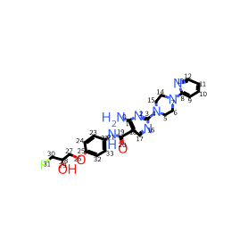 Nc1nc(N2CCN(c3ccccn3)CC2)ncc1C(=O)Nc1ccc(OC[C@@H](O)CF)cc1